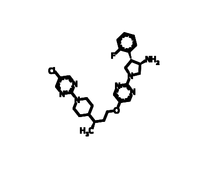 C[C@H](CCOc1cnc(N2C[C@H](c3ccccc3F)[C@@H](N)C2)nc1)C1CCN(c2ncc(Cl)cn2)CC1